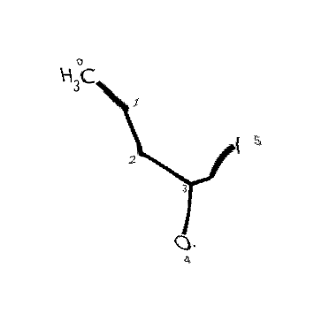 CCCC([O])I